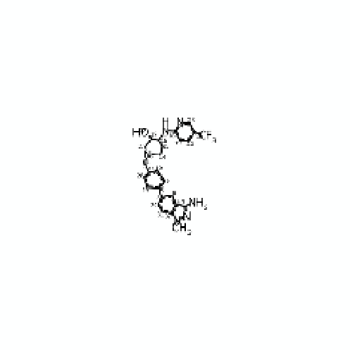 Cn1nc(N)c2cc(-c3ccc(SN4CCC(Nc5ccc(C(F)(F)F)cn5)C(O)C4)cc3)ccc21